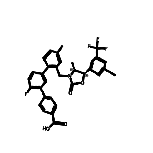 Cc1cc([C@H]2OC(=O)N(Cc3cc(C)ccc3-c3ccc(F)c(-c4ccc(C(=O)O)cc4)c3)[C@H]2C)cc(C(F)(F)F)c1